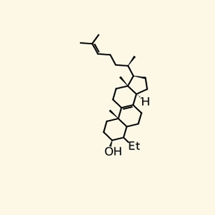 CCC1C2CCC3=C(CC[C@]4(C)[C@@H]([C@H](C)CCC=C(C)C)CC[C@@H]34)[C@@]2(C)CC[C@@H]1O